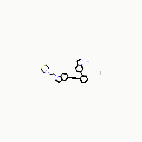 O=C(O)c1cccc(C#Cc2ccc3c(ccn3CCN3CCSCC3)c2)c1-c1ccc2cc[nH]c2c1